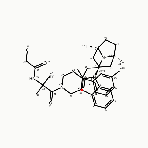 Cc1nc2ccccc2n1[C@H]1C[C@H]2CC[C@@H](C1)N2CCC1(c2cccc(F)c2)CCN(C(=O)C(C)(NC(=O)CCl)C(C)C)CC1